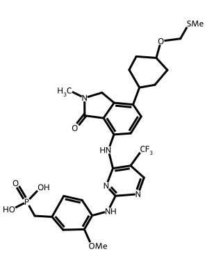 COc1cc(CP(=O)(O)O)ccc1Nc1ncc(C(F)(F)F)c(Nc2ccc(C3CCC(OCSC)CC3)c3c2C(=O)N(C)C3)n1